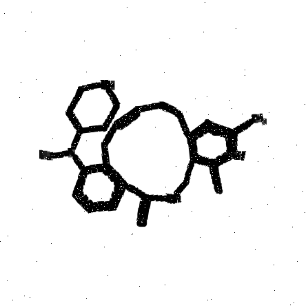 CCN(c1cccc2c1CC=CCCc1cc(C)[nH]c(=O)c1CNC2=O)C1CCNCC1